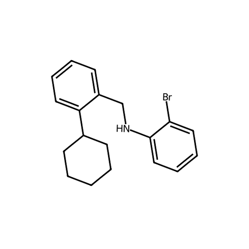 Brc1ccccc1NCc1ccccc1C1CCCCC1